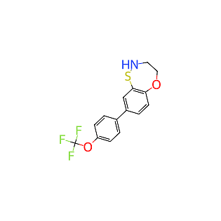 FC(F)(F)Oc1ccc(-c2ccc3c(c2)SNCCO3)cc1